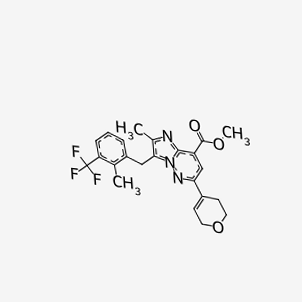 COC(=O)c1cc(C2=CCOCC2)nn2c(Cc3cccc(C(F)(F)F)c3C)c(C)nc12